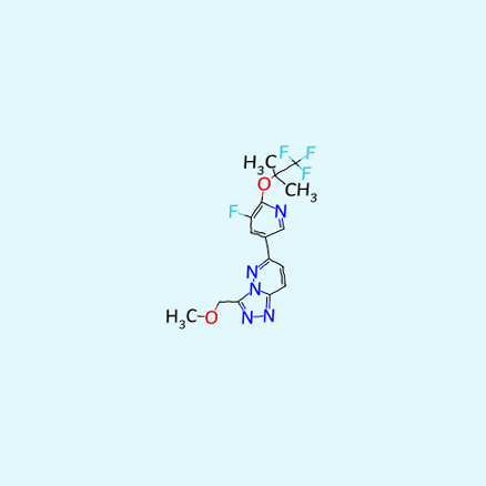 COCc1nnc2ccc(-c3cnc(OC(C)(C)C(F)(F)F)c(F)c3)nn12